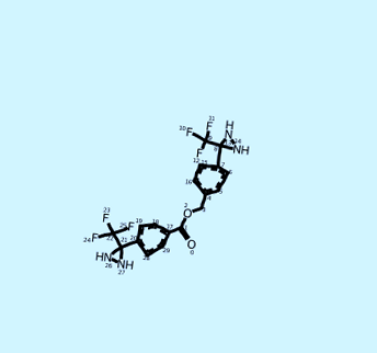 O=C(OCc1ccc(C2(C(F)(F)F)NN2)cc1)c1ccc(C2(C(F)(F)F)NN2)cc1